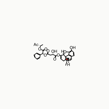 CC(=O)[C@H](C)OC(=O)[C@@H](OC(=O)C[C@H](O)C(=O)OC1=CC[C@@]2(O)[C@H]3Cc4ccc(O)c5c4[C@@]2(CCN3C)[C@H]1O5)c1ccccc1